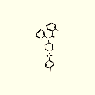 CCc1ccc(S(=O)(=O)N2CCC(N(C(=O)c3ccccc3Cl)c3ccccn3)CC2)cc1